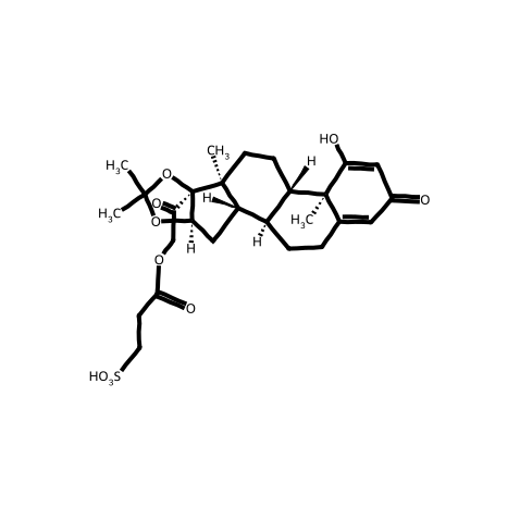 CC1(C)O[C@@H]2C[C@H]3[C@@H]4CCC5=CC(=O)C=C(O)[C@]5(C)[C@H]4CC[C@]3(C)[C@]2(C(=O)COC(=O)CCS(=O)(=O)O)O1